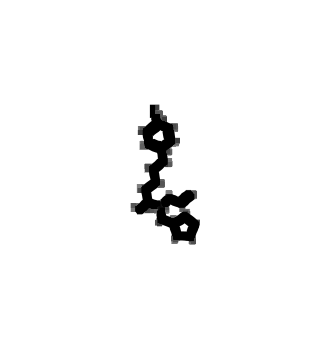 C=CCN(CC1CCCC1)C(C)CCCCc1ccc(F)cc1